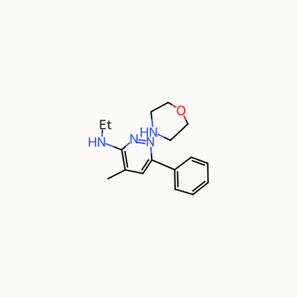 C1COCCN1.CCNc1nnc(-c2ccccc2)cc1C